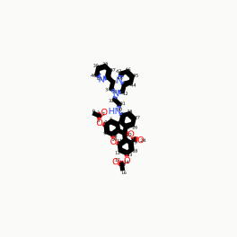 CC(=O)Oc1ccc2c(c1)Oc1cc(OC(C)=O)ccc1C2(OC=O)c1cccc(NCCN(CCc2ccccn2)Cc2ccccn2)c1